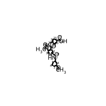 COc1cccc(CNC(=O)c2cc3c(=O)n(Cc4ccc(C(=O)O)cc4)c(=O)n(C)c3cn2)c1